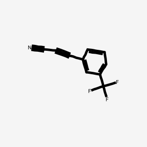 N#CC#Cc1cccc(C(F)(F)F)c1